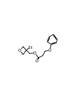 CCC1(COC(=O)CCOc2ccccc2)COC1